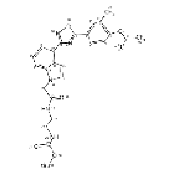 C[C@H](Oc1ccc(-c2nc(-c3cccc4c3ccn4CC(=O)NCCNC(=O)OC(C)(C)C)no2)cc1C(F)(F)F)C(F)(F)F